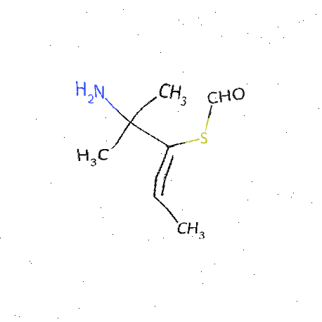 C/C=C(\SC=O)C(C)(C)N